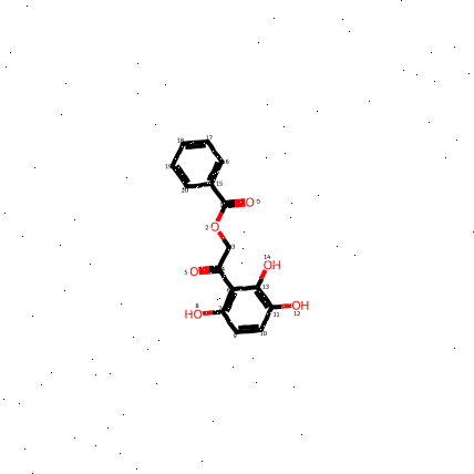 O=C(OCC(=O)c1c(O)ccc(O)c1O)c1ccccc1